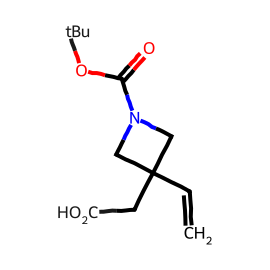 C=CC1(CC(=O)O)CN(C(=O)OC(C)(C)C)C1